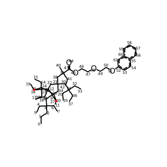 CCCC(CC)(CC)CC(CC)(CC(CC)(CC)CC)CC(CC(CC)(CC)CC)(CC(CC)(CC)CC)CC(C)(CC)C(=O)OCCOCCOc1ccc2ccccc2c1